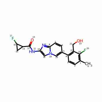 Cc1ccc(-c2ccc3nc(NC(=O)C4CC4F)cn3c2)c(CO)c1F